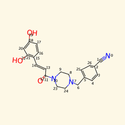 N#Cc1ccc(CN2CCN(C(=O)/C=C/c3ccc(O)cc3O)CC2)cc1